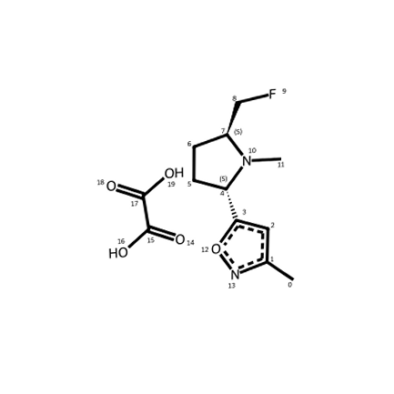 Cc1cc([C@@H]2CC[C@@H](CF)N2C)on1.O=C(O)C(=O)O